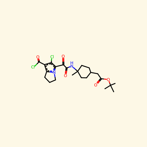 CC1(NC(=O)C(=O)c2c(Cl)c(C(=O)Cl)c3n2CCC3)CCC(CC(=O)OC(C)(C)C)CC1